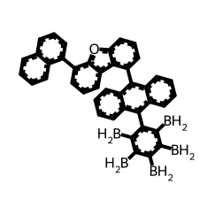 Bc1c(B)c(B)c(-c2c3ccccc3c(-c3cccc4oc5c(-c6cccc7ccccc67)cccc5c34)c3ccccc23)c(B)c1B